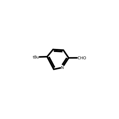 CC(C)(C)c1ccc(C=O)nc1